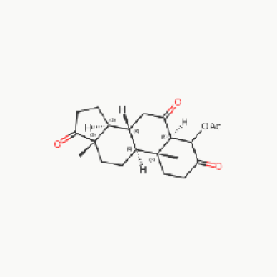 CC(=O)OC1C(=O)CC[C@@]2(C)[C@H]1C(=O)C[C@@H]1[C@@H]2CC[C@]2(C)C(=O)CC[C@@H]12